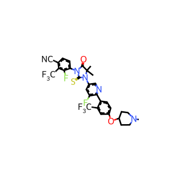 CN1CCC(Oc2ccc(-c3ncc(N4C(=S)N(c5ccc(C#N)c(C(F)(F)F)c5F)C(=O)C4(C)C)cc3F)c(C(F)(F)F)c2)CC1